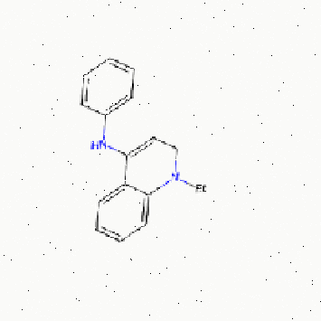 CCN1CC=C(Nc2ccccc2)c2ccccc21